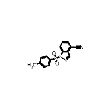 Cc1ccc(S(=O)(=O)n2ncc3c(C#N)cccc32)cc1